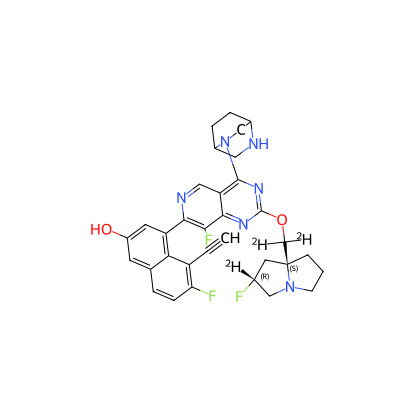 [2H]C([2H])(Oc1nc(N2CC3CCC2CN3)c2cnc(-c3cc(O)cc4ccc(F)c(C#C)c34)c(F)c2n1)[C@@]12CCCN1C[C@]([2H])(F)C2